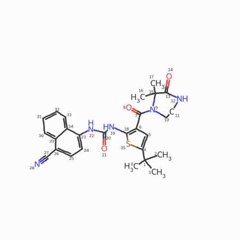 CC(C)(C)c1cc(C(=O)N2CCNC(=O)C2(C)C)c(NC(=O)Nc2ccc(C#N)c3ccccc23)s1